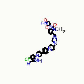 Cn1c(=O)n(C2CCC(=O)NC2=O)c2cccc(CN3CCN(CC4CCN(c5ccc(C6CCN(c7ccc(Cl)c8c(C#N)c[nH]c78)CC6)cc5)CC4)CC3)c21